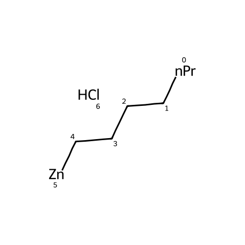 CCCCCC[CH2][Zn].Cl